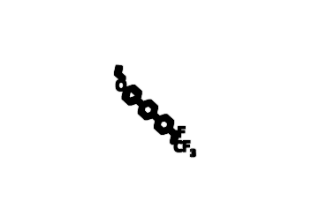 C=CCOc1ccc(C2CCC(C3CCC(/C(F)=C/C(F)(F)F)CC3)CC2)cc1